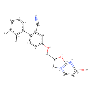 Cc1cccc(-c2ccc(OCC3Cn4ccc(=O)nc4O3)cc2C#N)c1C